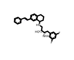 CC(=O)N[C@@H](Cc1cc(F)cc(F)c1)[C@H](O)CNC1CCCc2ccc(/C=C/c3ccccc3)cc21